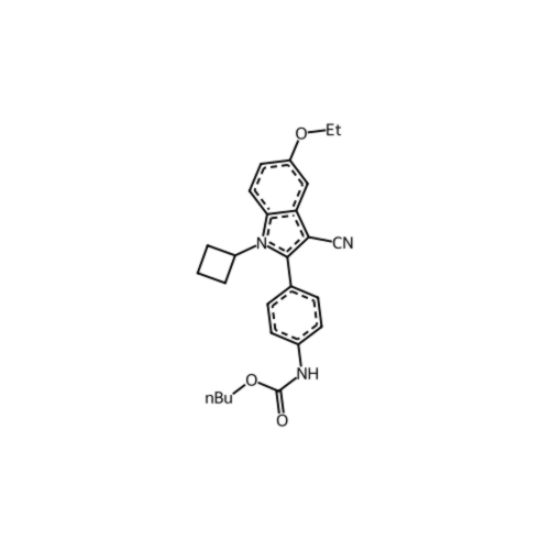 CCCCOC(=O)Nc1ccc(-c2c(C#N)c3cc(OCC)ccc3n2C2CCC2)cc1